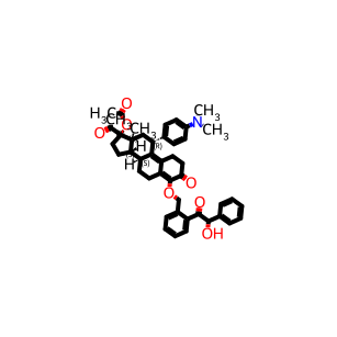 CC(=O)O[C@]1(C(C)=O)CC[C@H]2[C@@H]3CCC4=C(OCc5ccccc5C(=O)C(O)c5ccccc5)C(=O)CCC4=C3[C@@H](c3ccc(N(C)C)cc3)C[C@@]21C